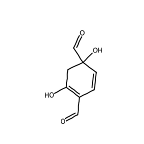 O=CC1=C(O)CC(O)(C=O)C=C1